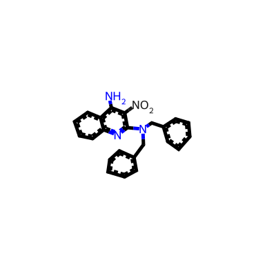 Nc1c([N+](=O)[O-])c(N(Cc2ccccc2)Cc2ccccc2)nc2ccccc12